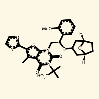 COc1ccccc1[C@H](Cn1c(=O)n(C(C)(C)C(=O)O)c(=O)c2c(C)c(-c3ncco3)sc21)OC1C[C@H]2CC[C@@H](C1)O2